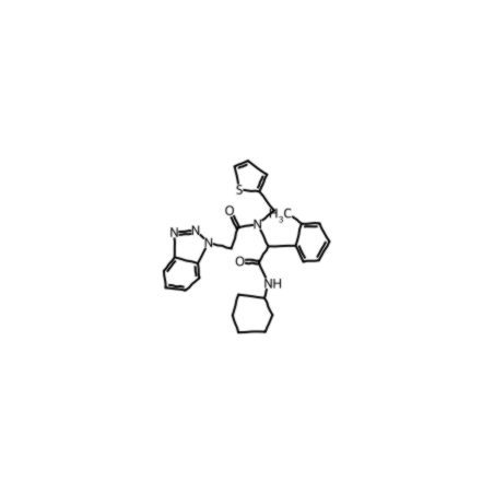 Cc1ccccc1C(C(=O)NC1CCCCC1)N(Cc1cccs1)C(=O)Cn1nnc2ccccc21